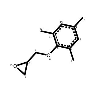 Cc1cc(C)c(OCC2CO2)c(C)c1